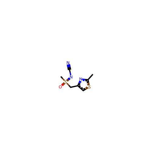 Cc1nc(CS(C)(=O)=NC#N)cs1